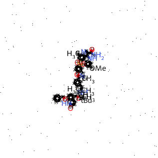 COc1cccc(Nc2c(C(N)=O)cnc3c(C)cc(S(=O)(=O)c4cccc(CN(C)C(=O)c5cccc(CC(C)(C)NC[C@H](O[Si](C)(C)C(C)(C)C)c6ccc(OCc7ccccc7)c7[nH]c(=O)ccc67)c5)c4)cc23)c1